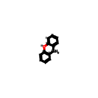 [c]1cccc2c1[SiH2]c1ccccc1O2